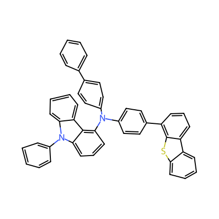 c1ccc(-c2ccc(N(c3ccc(-c4cccc5c4sc4ccccc45)cc3)c3cccc4c3c3ccccc3n4-c3ccccc3)cc2)cc1